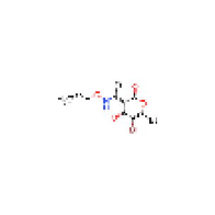 C=CCONC(CC)=C1C(=O)OC(CC)=C(Br)C1=O